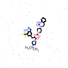 CN(C)C1CCN(C(=O)C(Cc2cc(C(F)(F)F)c3[nH]ncc3c2)OC(=O)N2CCC(N3CCc4ccccc4NC3=O)CC2)CC1